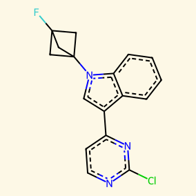 FC12CC(n3cc(-c4ccnc(Cl)n4)c4ccccc43)(C1)C2